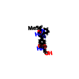 CSC(C)C(=O)N1CCCCC1c1nc(-c2ccc(S(=O)(=O)NCCO)cc2)c[nH]1